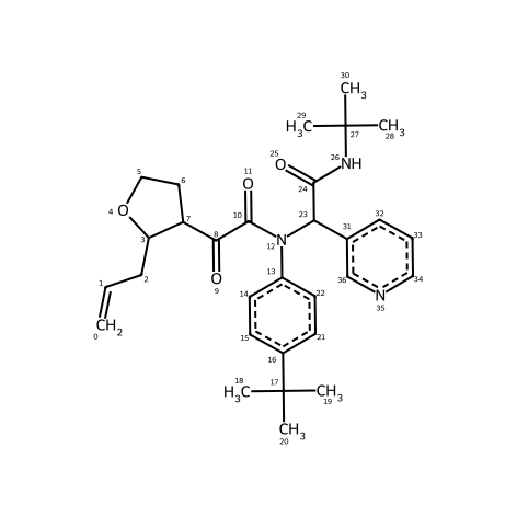 C=CCC1OCCC1C(=O)C(=O)N(c1ccc(C(C)(C)C)cc1)C(C(=O)NC(C)(C)C)c1cccnc1